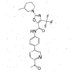 CC(=O)c1ccc(-c2ccc(NC(=O)c3oc(N4CCCC(C)C4)nc3C(F)(F)F)cc2)cn1